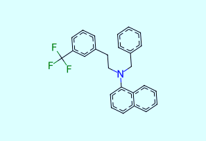 FC(F)(F)c1cccc(CCN(Cc2ccccc2)c2cccc3ccccc23)c1